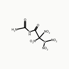 NC(=O)NC(=O)C(N([N+](=O)[O-])[N+](=O)[O-])([N+](=O)[O-])[N+](=O)[O-]